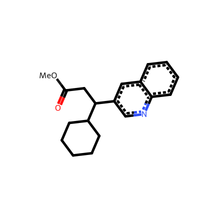 COC(=O)CC(c1cnc2ccccc2c1)C1CCCCC1